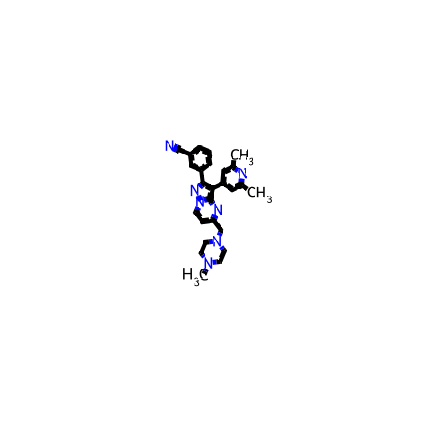 Cc1cc(-c2c(-c3cccc(C#N)c3)nn3ccc(CN4CCN(C)CC4)nc23)cc(C)n1